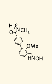 COc1c(CNO)cccc1-c1ccc(C(=O)N(C)C)cc1